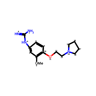 COc1cc(NC(=N)N)ccc1OCCN1CCCC1